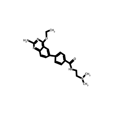 CCOc1nc(N)nc2ccc(-c3ccc(C(=O)NCCN(C)C)cc3)cc12